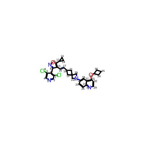 Clc1cncc(Cl)c1-c1noc(C2CC2)c1/C=C/C1CC2(C1)CN(c1ccc3nccc(OC4CCC4)c3c1)C2